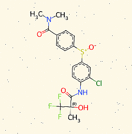 CN(C)C(=O)c1ccc([S+]([O-])c2ccc(NC(=O)[C@@](C)(O)C(F)(F)F)c(Cl)c2)cc1